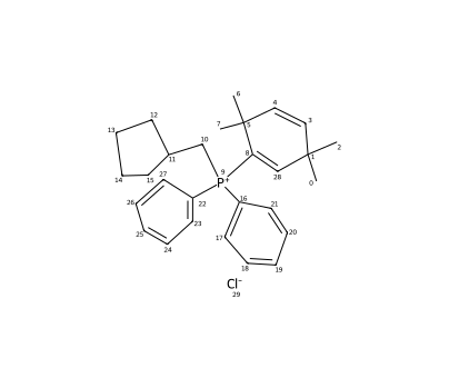 CC1(C)C=CC(C)(C)C([P+](CC2CCCC2)(c2ccccc2)c2ccccc2)=C1.[Cl-]